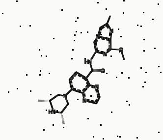 COc1nc(NC(=O)c2ccc(N3C[C@@H](C)N[C@@H](C)C3)c3nccnc23)cn2cc(C)nc12